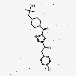 CC(C)(O)CC1CCN(C(=O)c2cc(C(=O)Cc3ccc(Cl)cc3)c[nH]2)CC1